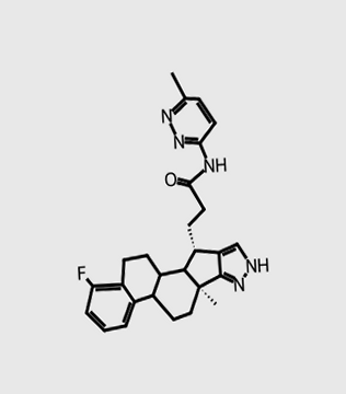 Cc1ccc(NC(=O)CC[C@@H]2c3c[nH]nc3[C@@]3(C)CCC4c5cccc(F)c5CCC4C23)nn1